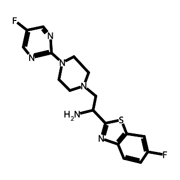 NC(CN1CCN(c2ncc(F)cn2)CC1)c1nc2ccc(F)cc2s1